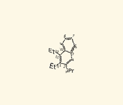 CCc1c(C(C)C)cc2ccccc2c1CC